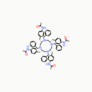 CC(=O)Nc1ccc(C[C@H]2CN(Cc3ccccc3)[C@@H](Cc3ccc(NC(C)=O)cc3)CN(Cc3ccccc3)[C@@H](Cc3ccc(NC(C)=O)cc3)CN(Cc3ccccc3)[C@@H](Cc3ccc(NC(C)=O)cc3)CN2Cc2ccccc2)cc1